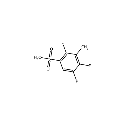 Cc1c(F)c(F)[c]c(S(C)(=O)=O)c1F